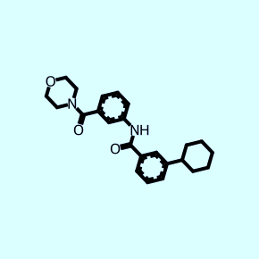 O=C(Nc1cccc(C(=O)N2CCOCC2)c1)c1cccc(C2CCCCC2)c1